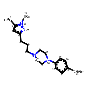 CCCc1cc(CCCN2CCN(c3ccc(OC)cc3)CC2)nn1C(C)(C)C